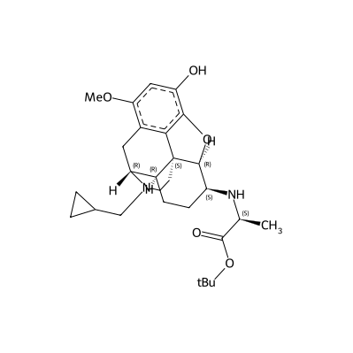 COc1cc(O)c2c3c1C[C@@H]1[C@@H]4CC[C@H](N[C@@H](C)C(=O)OC(C)(C)C)[C@H](O2)[C@]34CCN1CC1CC1